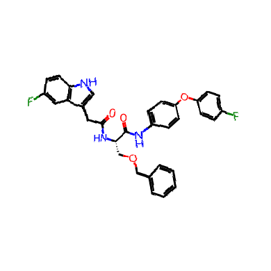 O=C(Cc1c[nH]c2ccc(F)cc12)N[C@@H](COCc1ccccc1)C(=O)Nc1ccc(Oc2ccc(F)cc2)cc1